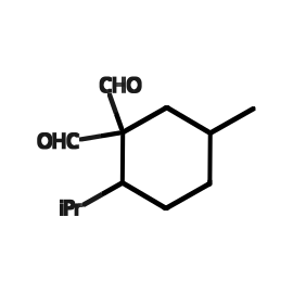 CC1CCC(C(C)C)C(C=O)(C=O)C1